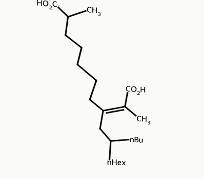 CCCCCCC(CCCC)CC(CCCCCC(C)C(=O)O)=C(C)C(=O)O